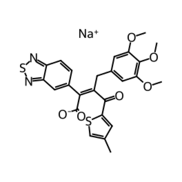 COc1cc(CC(C(=O)c2cc(C)cs2)=C(C(=O)[O-])c2ccc3nsnc3c2)cc(OC)c1OC.[Na+]